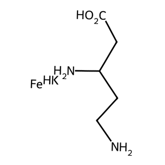 NCCC(N)CC(=O)O.[Fe].[KH]